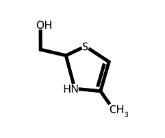 CC1=CSC(CO)N1